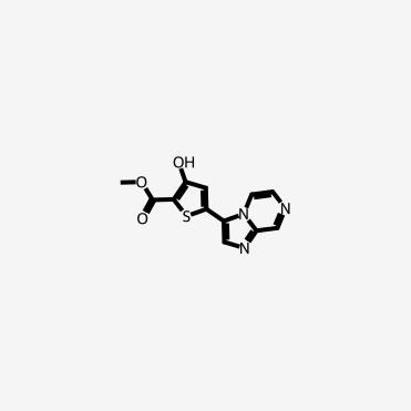 COC(=O)c1sc(-c2cnc3cnccn23)cc1O